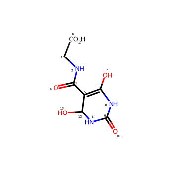 O=C(O)CNC(=O)C1=C(O)NC(=O)NC1O